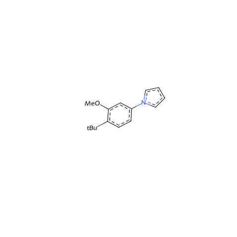 COc1cc(-n2cccc2)ccc1C(C)(C)C